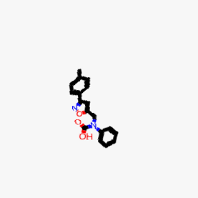 Cc1ccc(-c2cc(CN(C(=O)O)c3ccccc3)on2)cc1